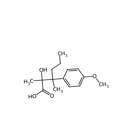 CCCC(C)(c1ccc(OC)cc1)C(C)(O)C(=O)O